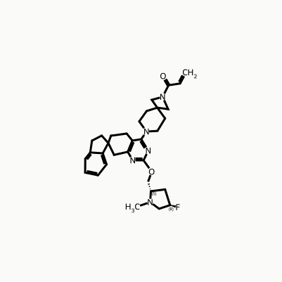 C=CC(=O)N1CC2(CCN(c3nc(OC[C@@H]4C[C@@H](F)CN4C)nc4c3CCC3(CCc5ccccc53)C4)CC2)C1